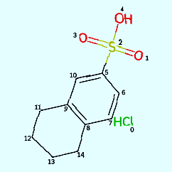 Cl.O=S(=O)(O)c1ccc2c(c1)CCCC2